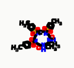 Cc1ccc(S(=O)(=O)N2CCN(S(=O)(=O)c3ccc(C)cc3)CC(=O)N[C@H](C)[C@@H](C)NC(=O)CN(S(=O)(=O)c3ccc(C)cc3)CC2)cc1